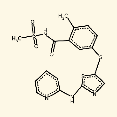 Cc1ccc(Sc2cnc(Nc3ccccn3)s2)cc1C(=O)NS(C)(=O)=O